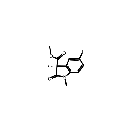 COC(=O)[C@]1(C)C(=O)N(C)c2ccc(I)cc21